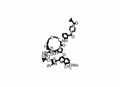 COc1ccc2c(O[C@@H]3C[C@H]4C(=O)N[C@]5(C(=O)NS(=O)(=O)C6(C)CC6)C[C@H]5/C=C\CCCCC[C@H](Nc5cccc(C(=O)N6CCN(C(=O)C7CC7)CC6)c5)C(=O)N4C3)cc(-c3nc(C(C)C)cs3)nc2c1C